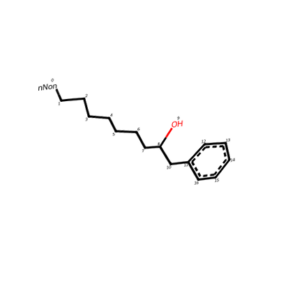 CCCCCCCCCCCCCCCCC(O)[CH]c1ccccc1